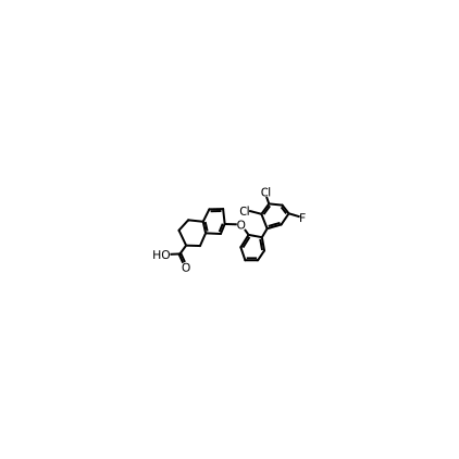 O=C(O)C1CCc2ccc(Oc3ccccc3-c3cc(F)cc(Cl)c3Cl)cc2C1